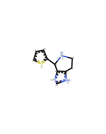 c1csc(C2NCCc3[nH]cnc32)c1